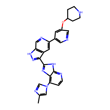 Cc1cn(-c2ccnc3[nH]c(-c4n[nH]c5cnc(-c6cncc(OC7CCNCC7)c6)cc45)nc23)cn1